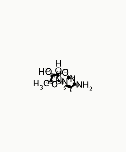 C[C@H]1ON(n2ccc(N)nc2=O)[C@H](O)[C@@H]1O